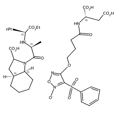 CCC[C@H](N[C@@H](C)C(=O)N1C(C(=O)O)C[C@@H]2CCCC[C@@H]21)C(=O)OCC.O=C(O)C[C@H](NC(=O)CCCOc1no[n+]([O-])c1S(=O)(=O)c1ccccc1)C(=O)O